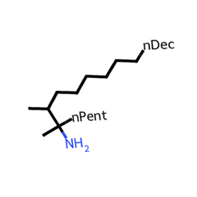 CCCCCCCCCCCCCCCCC(C)C(C)(N)CCCCC